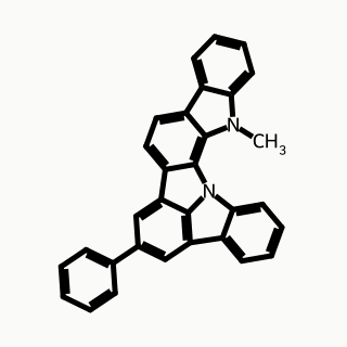 Cn1c2ccccc2c2ccc3c4cc(-c5ccccc5)cc5c6ccccc6n(c54)c3c21